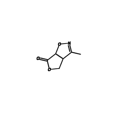 CC1=NOC2C(=O)OCC12